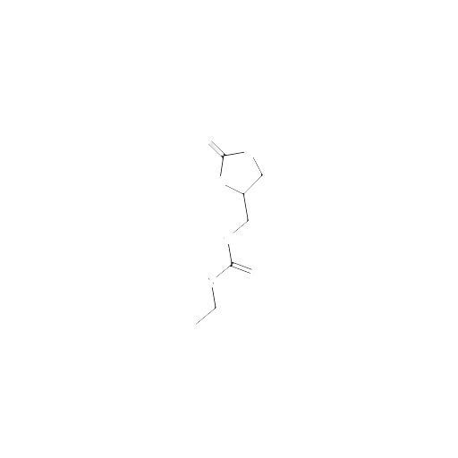 CCNC(=O)OCC1COC(=O)O1